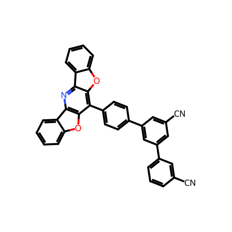 N#Cc1cccc(-c2cc(C#N)cc(-c3ccc(-c4c5oc6ccccc6c5nc5c4oc4ccccc45)cc3)c2)c1